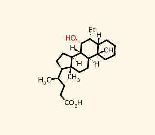 CC[C@H]1[C@@H](O)[C@@H]2[C@H](CC[C@]3(C)[C@@H]([C@H](C)CCC(=O)O)CC[C@@H]23)[C@@]2(C)CCCC[C@@H]12